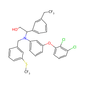 OCC(c1cccc(CC(F)(F)F)c1)N(Cc1cccc(SC(F)(F)F)c1)c1cccc(Oc2cccc(Cl)c2Cl)c1